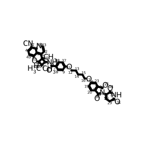 CC1(C)C(NC(=O)c2ccc(OCCCCCOc3ccc4c(c3)C(=O)N(C3CCC(=O)NC3=O)C4=O)cc2)C2(C)c3ccnc4c(C#N)ccc(c34)O[C@@H]12